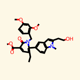 CCc1cc(C(=O)OC)c(=O)n(Cc2ccc(OC)cc2OC)c1-c1ccc2c(c1)cc(CCO)n2C